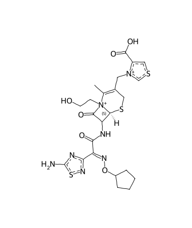 CC1=C(C[n+]2cscc2C(=O)O)CS[C@H]2C(NC(=O)C(=NOC3CCCC3)c3nsc(N)n3)C(=O)[N+]12CCO